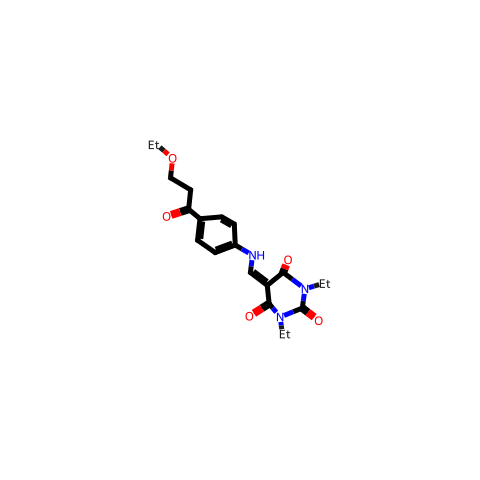 CCOCCC(=O)c1ccc(NC=C2C(=O)N(CC)C(=O)N(CC)C2=O)cc1